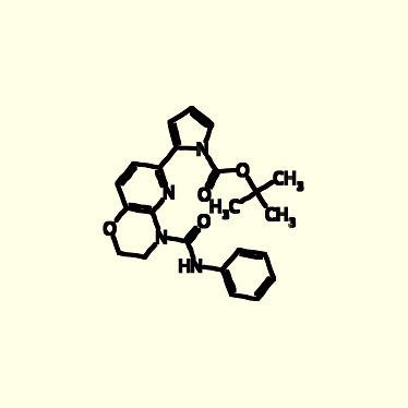 CC(C)(C)OC(=O)n1cccc1-c1ccc2c(n1)N(C(=O)Nc1ccccc1)CCO2